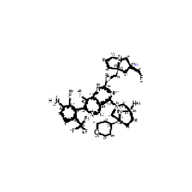 Nc1ccc(C(F)(F)F)c(-c2ncc3c(N4C[C@@H]5CC[C@](C6CCOCC6)(C4)N5)nc(OC[C@@]45CCCN4C/C(=C/F)C5)nc3c2F)c1F